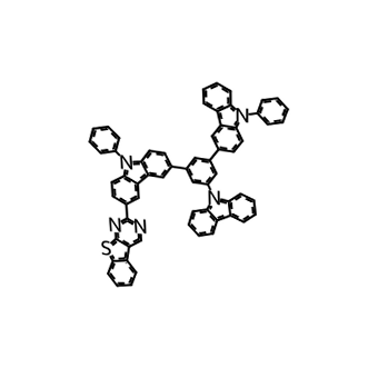 c1ccc(-n2c3ccccc3c3cc(-c4cc(-c5ccc6c(c5)c5cc(-c7ncc8c(n7)sc7ccccc78)ccc5n6-c5ccccc5)cc(-n5c6ccccc6c6ccccc65)c4)ccc32)cc1